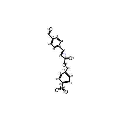 O=Cc1ccc(/C=C/C(=O)OCc2ccc([N+](=O)[O-])cc2)cc1